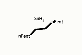 [CH2]CCCCCCCCCCC.[SnH4]